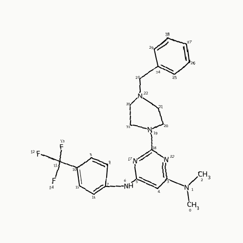 CN(C)c1cc(Nc2ccc(C(F)(F)F)cc2)nc(N2CCN(Cc3ccccc3)CC2)n1